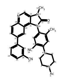 CC(=O)N1CCN(c2cc(C)c(-n3c(=O)n(C)c4cnc5ccc(-c6cccc(C#N)c6)cc5c43)cc2C#N)CC1